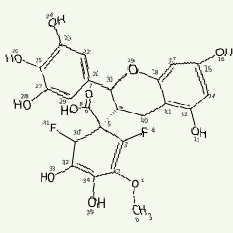 COC1=C(F)[C@@](C(=O)O)(C2Cc3c(O)cc(O)cc3OC2c2cc(O)c(O)c(O)c2)C(F)C(O)=C1O